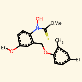 CCOc1ccc(N(O)C(=S)OC)c(COc2ccc(CC)cc2C)c1